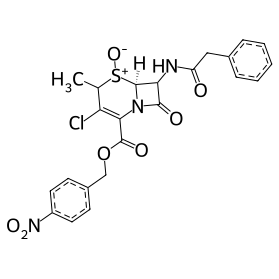 CC1C(Cl)=C(C(=O)OCc2ccc([N+](=O)[O-])cc2)N2C(=O)C(NC(=O)Cc3ccccc3)[C@@H]2[S+]1[O-]